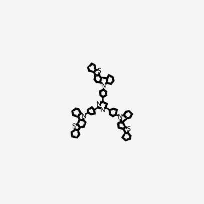 c1ccc2c(c1)sc1c2ccc2c1c1ccccc1n2-c1ccc(-c2cc(-c3ccc(-n4c5ccccc5c5c6sc7ccccc7c6ccc54)cc3)nc(-c3ccc(-n4c5ccccc5c5c6sc7ccccc7c6ccc54)cc3)n2)cc1